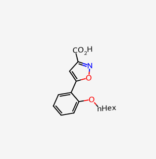 CCCCCCOc1ccccc1-c1cc(C(=O)O)no1